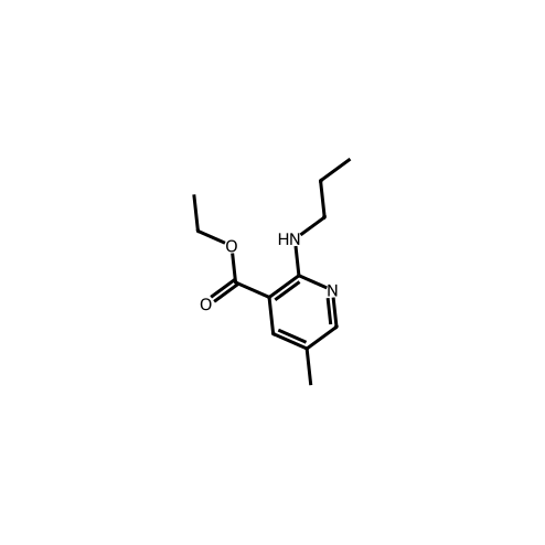 CCCNc1ncc(C)cc1C(=O)OCC